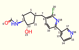 O=CN[C@H]1CCC(Cc2ccc(-c3cccnc3)nc2F)C[C@@H]1O